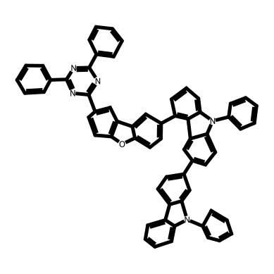 c1ccc(-c2nc(-c3ccccc3)nc(-c3ccc4oc5ccc(-c6cccc7c6c6cc(-c8ccc9c%10ccccc%10n(-c%10ccccc%10)c9c8)ccc6n7-c6ccccc6)cc5c4c3)n2)cc1